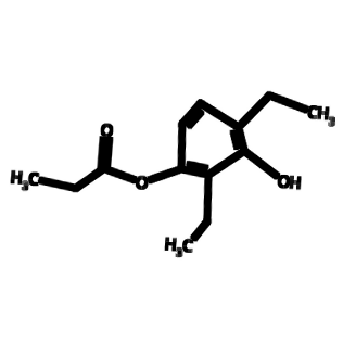 CCC(=O)Oc1ccc(CC)c(O)c1CC